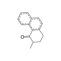 CC1CCc2ccc3ccccc3c2C1=O